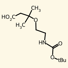 CC(C)(C)OC(=O)NCCOC(C)(C)CC(=O)O